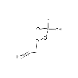 C#CCOOP(=O)(O)F